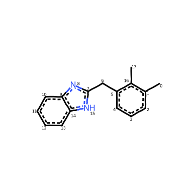 Cc1cccc(Cc2nc3ccccc3[nH]2)c1C